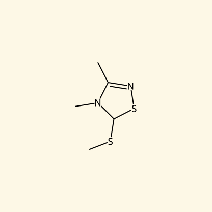 CSC1SN=C(C)N1C